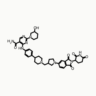 NC(=O)c1cnc(N2CCCC(O)C2)nc1Nc1ccc(C2CCN(CC3CCN(c4ccc5c(c4)C(=O)N(C4CCC(=O)NC4=O)C5=O)C3)CC2)cc1